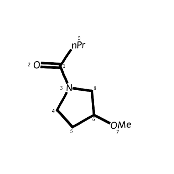 [CH2]CCC(=O)N1CCC(OC)C1